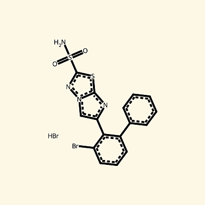 Br.NS(=O)(=O)c1nn2cc(-c3c(Br)cccc3-c3ccccc3)nc2s1